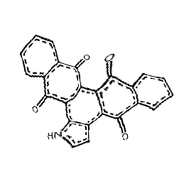 O=c1c2ccccc2c(=O)c2c1c1cc[nH]c1c1c(=O)c3ccccc3c(=O)c12